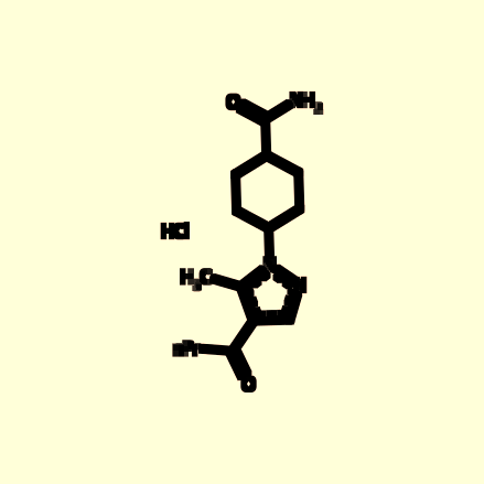 CCCC(=O)c1cnn(C2CCC(C(N)=O)CC2)c1C.Cl